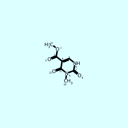 COC(=O)c1c[nH]c(=O)n(C)c1=O